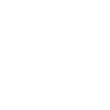 CCCCCc1cc(I)c(CCCCC)cc1I